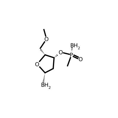 B[C@H]1C[C@@H](O[P@](B)(C)=O)[C@@H](COC)O1